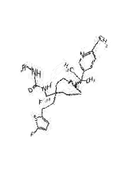 Cc1ccc(C(C)(C)N2CCC(CCc3ccc(F)s3)([C@H](F)NC(=O)NC(C)C)C2)cn1